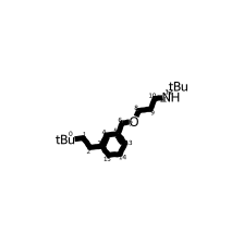 CC(C)(C)CCC1=CC(COCCCNC(C)(C)C)=CCC1